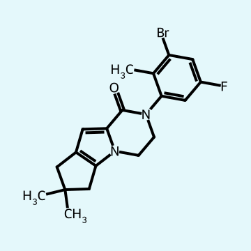 Cc1c(Br)cc(F)cc1N1CCn2c(cc3c2CC(C)(C)C3)C1=O